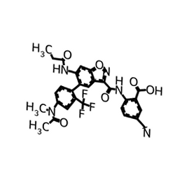 CCC(=O)Nc1cc2onc(C(=O)Nc3ccc(C#N)cc3C(=O)O)c2cc1-c1ccc(N(C)C(C)=O)cc1C(F)(F)F